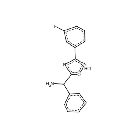 Cl.NC(c1ccccc1)c1nc(-c2cccc(F)c2)no1